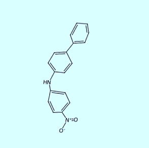 O=[N+]([O-])c1ccc(Nc2ccc(-c3ccccc3)cc2)cc1